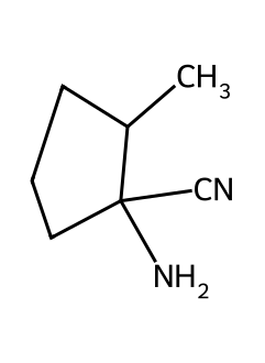 CC1CCCC1(N)C#N